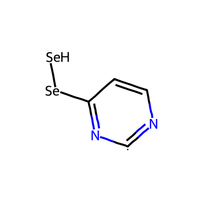 [SeH][Se]c1ccn[c]n1